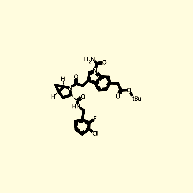 CC(C)(C)OC(=O)Cc1ccc2c(CC(=O)N3[C@@H]4C[C@@H]4C[C@H]3C(=O)NCc3cccc(Cl)c3F)cn(C(N)=O)c2c1